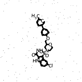 Cc1ccc(-c2ccc(OCC3CN(S(=O)(=O)c4c(C(N)=O)[nH]c5ccc(Cl)cc45)CCO3)cc2)cc1